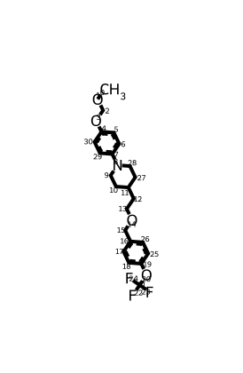 COCOc1ccc(N2CCC(CCOCc3ccc(OC(F)(F)F)cc3)CC2)cc1